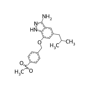 CC(C)Cc1cc(OCc2ccc(S(C)(=O)=O)cc2)c2[nH]nc(N)c2c1